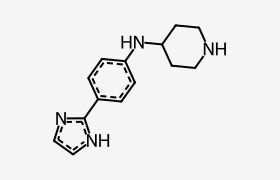 c1c[nH]c(-c2ccc(NC3CCNCC3)cc2)n1